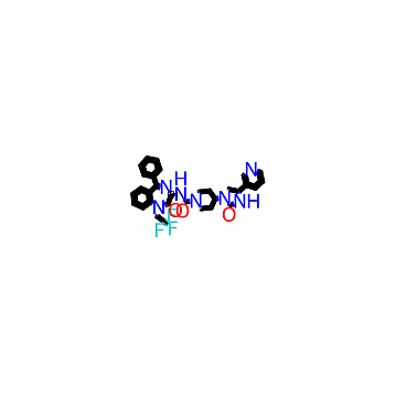 O=C(N[C@@H]1N=C(c2ccccc2)c2ccccc2N(CC(F)(F)F)C1=O)N1CCC(N2CC(c3cccnc3)NC2=O)CC1